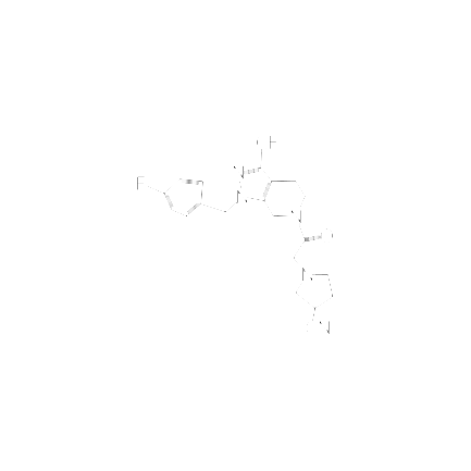 N#CC1CCN(CC(=O)N2CCc3c(C(F)(F)F)nn(Cc4ccc(F)cc4)c3C2)C1